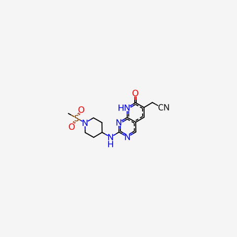 CS(=O)(=O)N1CCC(Nc2ncc3cc(CC#N)c(=O)[nH]c3n2)CC1